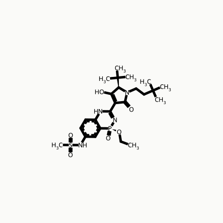 CCO[P@@]1(=O)N=C(C2=C(O)[C@@H](C(C)(C)C)N(CCC(C)(C)C)C2=O)Nc2ccc(NS(C)(=O)=O)cc21